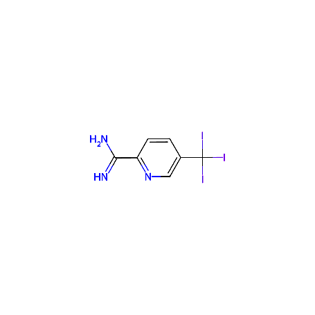 N=C(N)c1ccc(C(I)(I)I)cn1